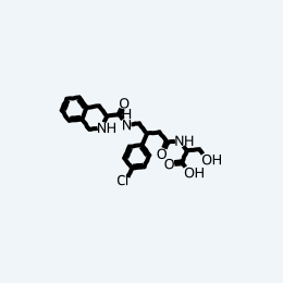 O=C(CC(CNC(=O)C1Cc2ccccc2CN1)c1ccc(Cl)cc1)NC(CO)C(=O)O